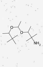 CC(OC(C)C(C)(C)C)OC(C)C(C)(C)N